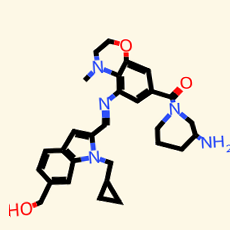 CN1CCOc2cc(C(=O)N3CCCC(N)C3)cc(/N=C/c3cc4ccc(CO)cc4n3CC3CC3)c21